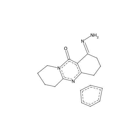 NN=C1CCCc2nc3n(c(=O)c21)CCCC3.c1ccccc1